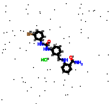 Cl.NC(=O)c1ccccc1NCc1cccc(NC(=O)Nc2cccc(Br)c2)c1